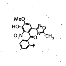 COc1cc(-c2noc(C)n2)c(C(=O)c2ccccc2F)c([N+](=O)[O-])c1O